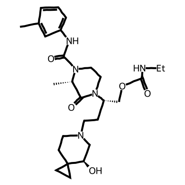 CCNC(=O)OC[C@H](CCN1CCC2(CC2)[C@H](O)C1)N1CCN(C(=O)Nc2cccc(C)c2)[C@@H](C)C1=O